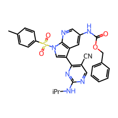 Cc1ccc(S(=O)(=O)n2cc(-c3nc(NC(C)C)ncc3C#N)c3cc(NC(=O)OCc4ccccc4)cnc32)cc1